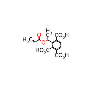 C=CC(=O)OC(C)c1c(C(=O)O)ccc(C(=O)O)c1C(=O)O